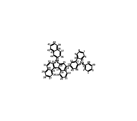 c1ccc(-n2c3ccccc3c3cc(-c4cc5c(c6ccccc46)c4c6ccccc6ccc4n5-c4ccc5ccccc5c4)ccc32)cc1